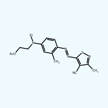 CCN(CCOC(C)=O)c1ccc(N=Nc2snc(C)c2C#N)c(C)c1